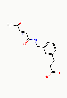 CC(=O)/C=C/C(=O)NCc1cccc(CCC(=O)O)c1